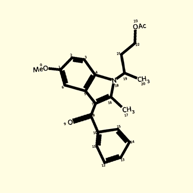 COc1ccc2c(c1)c(C(=O)c1ccccc1)c(C)n2C(C)CCOC(C)=O